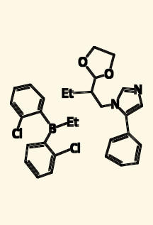 CCB(c1ccccc1Cl)c1ccccc1Cl.CCC(Cn1cncc1-c1ccccc1)C1OCCO1